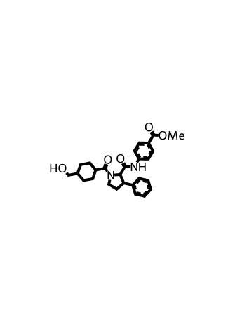 COC(=O)c1ccc(NC(=O)C2C(c3ccccc3)CCN2C(=O)C2CCC(CO)CC2)cc1